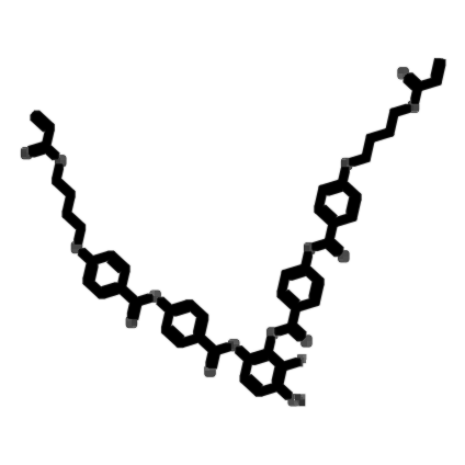 C=CC(=O)OCCCCOc1ccc(C(=O)Oc2ccc(C(=O)Oc3ccc(C#N)c(F)c3OC(=O)c3ccc(OC(=O)c4ccc(OCCCCOC(=O)C=C)cc4)cc3)cc2)cc1